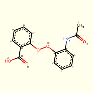 CC(=O)Nc1ccccc1OOc1ccccc1C(=O)O